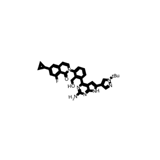 CC(C)(C)n1cc(-c2cc3c(-c4cccc(-n5ccc6cc(C7CC7)cc(F)c6c5=O)c4CO)nc(N)nc3[nH]2)cn1